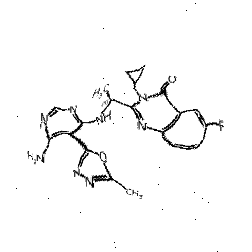 Cc1nnc(-c2c(N)ncnc2N[C@@H](C)c2nc3ccc(F)cc3c(=O)n2C2CC2)o1